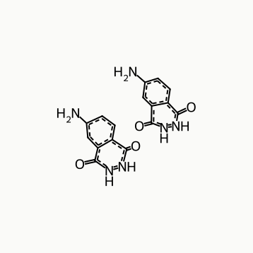 Nc1ccc2c(=O)[nH][nH]c(=O)c2c1.Nc1ccc2c(=O)[nH][nH]c(=O)c2c1